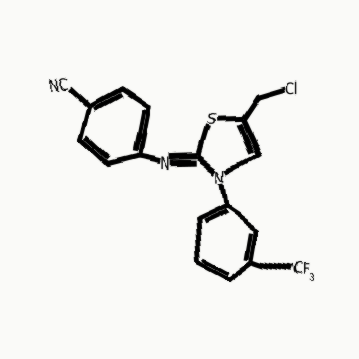 N#Cc1ccc(N=c2sc(CCl)cn2-c2cccc(C(F)(F)F)c2)cc1